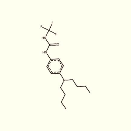 CCCCN(CCCC)c1ccc(NC(=O)NC(F)(F)F)cc1